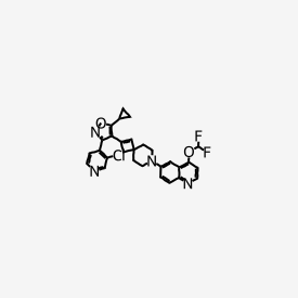 FC(F)Oc1ccnc2ccc(N3CCC4(C=C(c5c(-c6ccncc6Cl)noc5C5CC5)C4)CC3)cc12